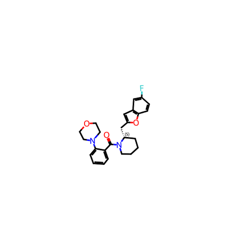 O=C(c1ccccc1N1CCOCC1)N1CCCC[C@H]1Cc1cc2cc(F)ccc2o1